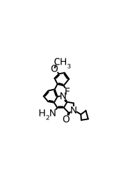 COc1ccc(F)c(-c2cccc3c(N)c4c(nc23)CN(C2CCC2)C4=O)c1